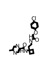 Cc1cnc(C(=O)NC2(CCNC(=O)COc3ccc(Cl)cc3)CCC2)cn1